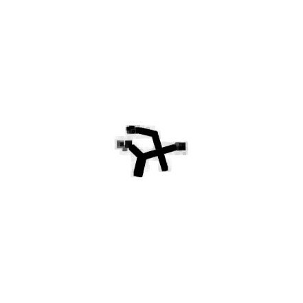 C=C(N)C(C)(S)CC(C)(C)C